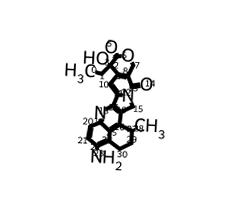 CC[C@@]1(O)C(=O)OCc2c1cc1n(c2=O)Cc2c-1nc1ccc(N)c3c1c2[C@H](C)CC3